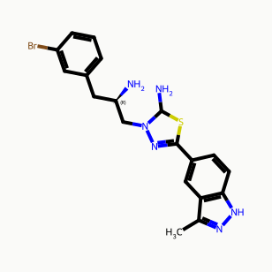 Cc1n[nH]c2ccc(C3=NN(C[C@H](N)Cc4cccc(Br)c4)C(N)S3)cc12